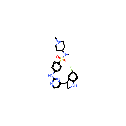 CN1CCC(N(C)S(=O)(=O)c2ccc(Nc3nccc(C4CNc5ccc(F)cc54)n3)cc2)CC1